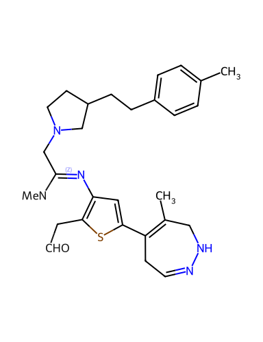 CN/C(CN1CCC(CCc2ccc(C)cc2)C1)=N\c1cc(C2=C(C)CNN=CC2)sc1CC=O